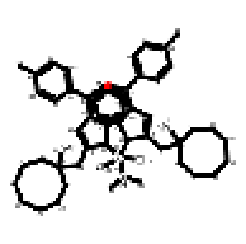 CCCC1(CC2=Cc3c(-c4ccc(C)cc4)cccc3[CH]2[Zr]([Cl])([Cl])([CH]2C(CC3(CCC)CCCCCCC3)=Cc3c(-c4ccc(C)cc4)cccc32)[SiH](C)C)CCCCCCC1